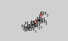 COCCCC(COCC(C)C(C)(C)CCC(C)(C)C1CCCCC1)C(C)(C)C